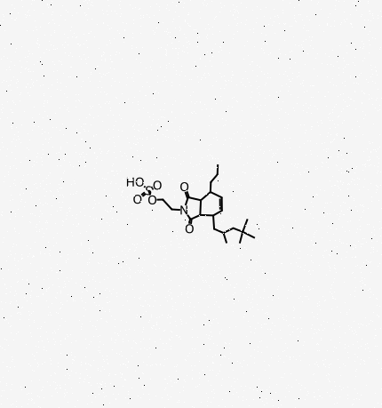 CCCC1C=CC(CC(C)CC(C)(C)C)C2C(=O)N(CCOS(=O)(=O)O)C(=O)C12